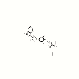 Cc1cc(-c2noc(-c3nn(C)c4c3CCC(C)(C)C4)n2)cc(C)c1CCN[C@@H](CO)C(=O)O